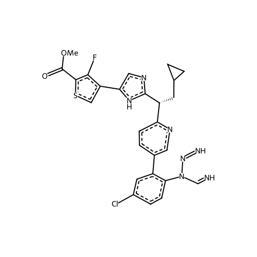 COC(=O)c1scc(-c2cnc([C@H](CC3CC3)c3ccc(-c4cc(Cl)ccc4N(C=N)N=N)cn3)[nH]2)c1F